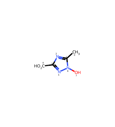 Cc1nc(C(=O)O)nn1O